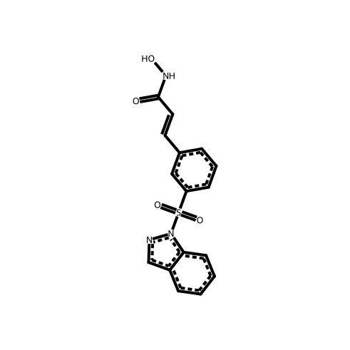 O=C(C=Cc1cccc(S(=O)(=O)n2ncc3ccccc32)c1)NO